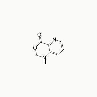 O=C1O[C]Nc2cccnc21